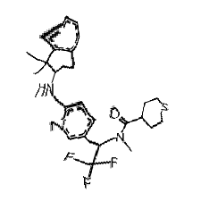 CN(C(=O)C1CCSCC1)C(c1ccc(NC2Cc3ccccc3C2(C)C)nc1)C(F)(F)F